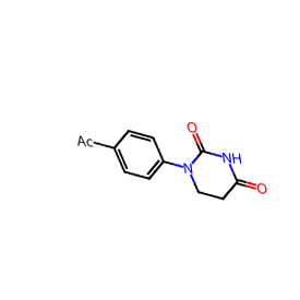 CC(=O)c1ccc(N2CCC(=O)NC2=O)cc1